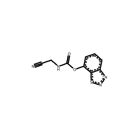 N#CCNC(=O)Oc1cccc2nnsc12